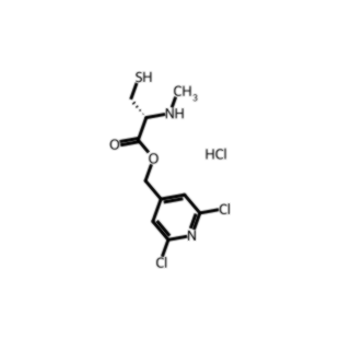 CN[C@@H](CS)C(=O)OCc1cc(Cl)nc(Cl)c1.Cl